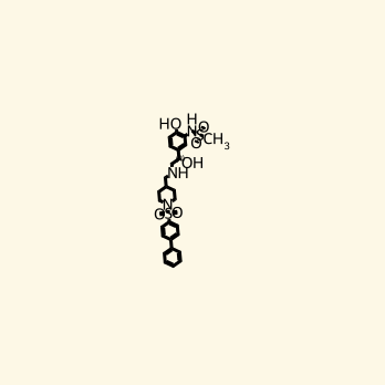 CS(=O)(=O)Nc1cc([C@@H](O)CNCC2CCN(S(=O)(=O)c3ccc(-c4ccccc4)cc3)CC2)ccc1O